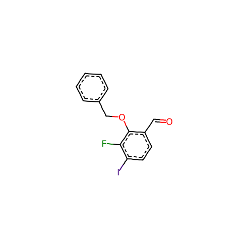 O=Cc1ccc(I)c(F)c1OCc1ccccc1